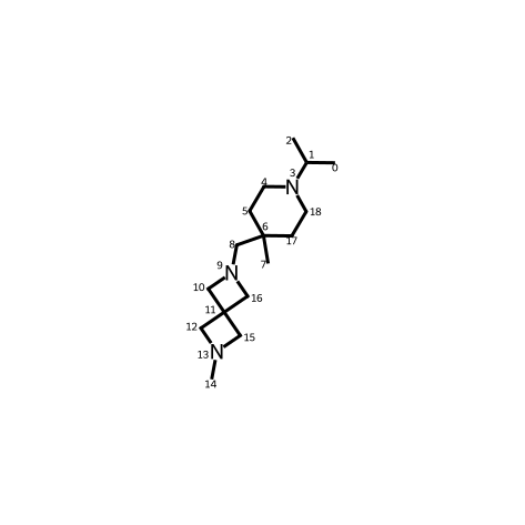 CC(C)N1CCC(C)(CN2CC3(CN(C)C3)C2)CC1